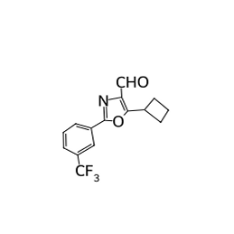 O=Cc1nc(-c2cccc(C(F)(F)F)c2)oc1C1CCC1